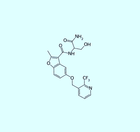 Cc1oc2ccc(OCc3cccnc3C(F)(F)F)cc2c1C(=O)NC(CO)C(N)=O